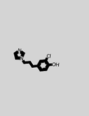 Oc1ccc(CCCn2ccnc2)cc1Cl